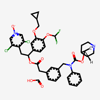 O=C(Cc1cccc(CN(C(=O)O[C@H]2CN3CCC2CC3)c2ccccc2)c1)OC(Cc1c(Cl)c[n+]([O-])cc1Cl)c1ccc(OC(F)F)c(OCC2CC2)c1.O=CO